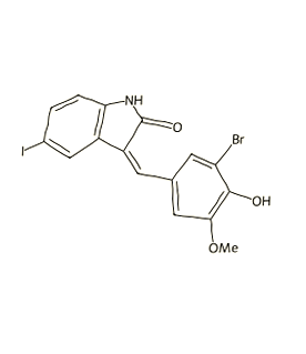 COc1cc(C=C2C(=O)Nc3ccc(I)cc32)cc(Br)c1O